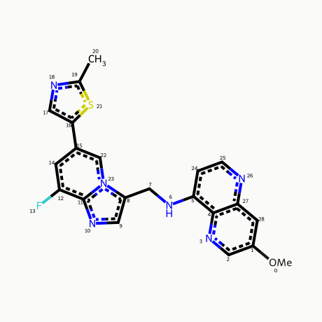 COc1cnc2c(NCc3cnc4c(F)cc(-c5cnc(C)s5)cn34)ccnc2c1